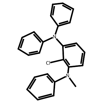 CN(c1ccccc1)c1cccc(N(c2ccccc2)c2ccccc2)c1Cl